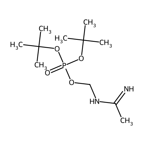 CC(=N)NCOP(=O)(OC(C)(C)C)OC(C)(C)C